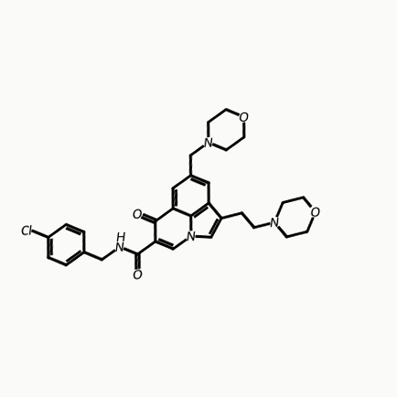 O=C(NCc1ccc(Cl)cc1)c1cn2cc(CCN3CCOCC3)c3cc(CN4CCOCC4)cc(c1=O)c32